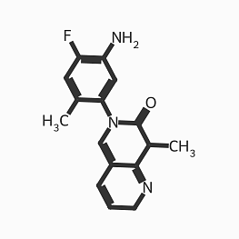 Cc1cc(F)c(N)cc1N1C=C2C=CCN=C2C(C)C1=O